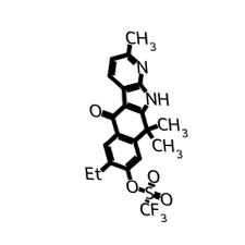 CCc1cc2c(cc1OS(=O)(=O)C(F)(F)F)C(C)(C)c1[nH]c3nc(C)ccc3c1C2=O